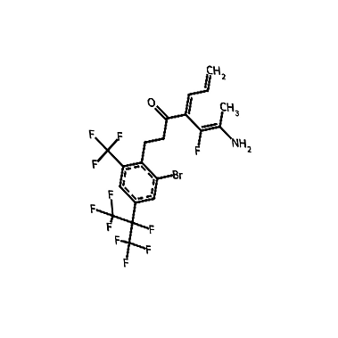 C=C/C=C(C(=O)CCc1c(Br)cc(C(F)(C(F)(F)F)C(F)(F)F)cc1C(F)(F)F)\C(F)=C(/C)N